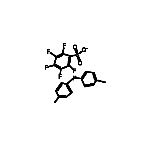 Cc1ccc([I+]c2ccc(C)cc2)cc1.O=S(=O)([O-])c1c(F)c(F)c(F)c(F)c1F